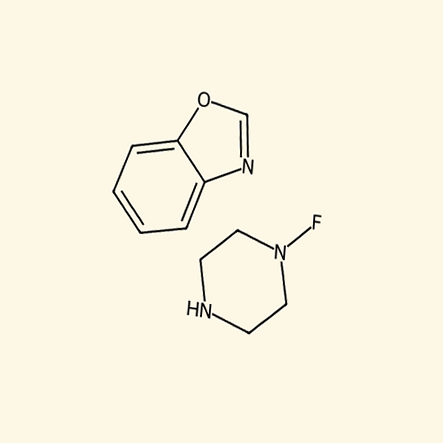 FN1CCNCC1.c1ccc2ocnc2c1